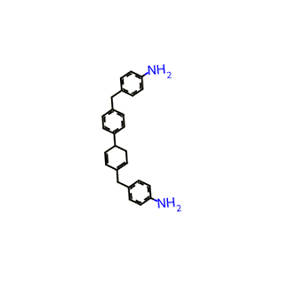 Nc1ccc(CC2=CCC(c3ccc(Cc4ccc(N)cc4)cc3)C=C2)cc1